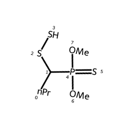 CCCC(SS)P(=S)(OC)OC